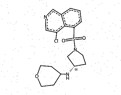 O=S(=O)(c1cccc2cncc(Cl)c12)N1CC[C@H](NC2CCOCC2)C1